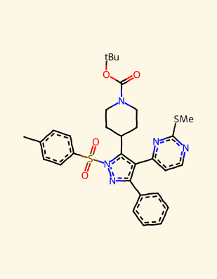 CSc1nccc(-c2c(-c3ccccc3)nn(S(=O)(=O)c3ccc(C)cc3)c2C2CCN(C(=O)OC(C)(C)C)CC2)n1